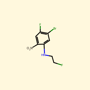 O=[N+]([O-])c1cc(F)c(Br)cc1NCCF